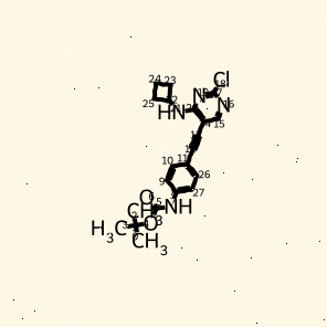 CC(C)(C)OC(=O)Nc1ccc(C#Cc2cnc(Cl)nc2NC2CCC2)cc1